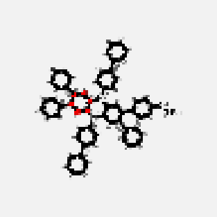 CCCCOc1ccc(-c2cc(N(c3ccc(-c4ccccc4)cc3)c3ccc(-c4ccccc4)cc3)c(N(c3ccc(-c4ccccc4)cc3)c3ccc(-c4ccccc4)cc3)cc2-c2ccccc2)cc1